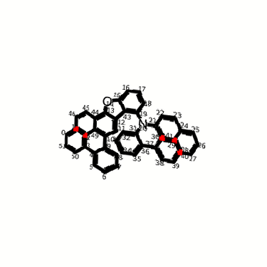 c1ccc(-c2ccccc2-c2cc3c(oc4cccc(N(c5ccc6ccccc6c5)c5ccccc5-c5ccccc5)c43)c3ccccc23)cc1